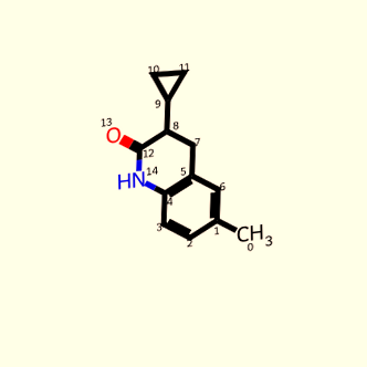 Cc1ccc2c(c1)CC(C1CC1)C(=O)N2